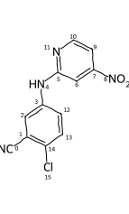 N#Cc1cc(Nc2cc([N+](=O)[O-])ccn2)ccc1Cl